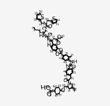 CCCC[C@@H](COC(=O)N(Cc1cccs1)Cc1cccs1)NC(=O)N[C@@H](CC(=O)OC)c1ccc2c(c1)OC(c1ccc(Nc3nc4ccc(CC(=O)N5C[C@@H](F)C[C@H]5CO[C@H]5CC[C@H](C(=O)O)CC5)cc4o3)c(C)c1)O2